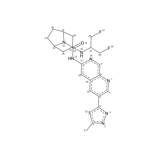 Cc1nnc(-c2cnc3cnc(NC(=O)N4C5CCC4CC(NC(CF)CF)C5)cc3c2)s1